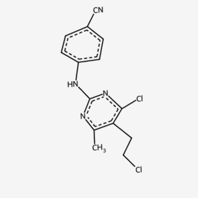 Cc1nc(Nc2ccc(C#N)cc2)nc(Cl)c1CCCl